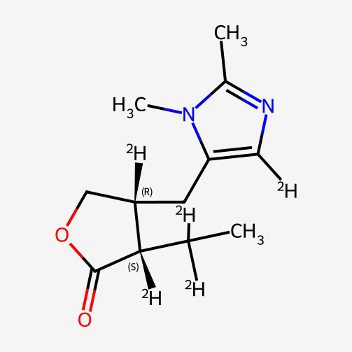 [2H]c1nc(C)n(C)c1C[C@@]1([2H])COC(=O)[C@@]1([2H])C([2H])([2H])C